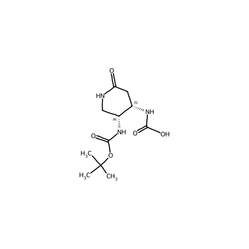 CC(C)(C)OC(=O)N[C@@H]1CNC(=O)C[C@@H]1NC(=O)O